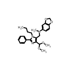 CCCCn1c(-c2ccccc2)nc(C(OC)OC)c1CN(C)c1ccc2c(c1)OCO2